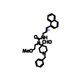 COCCN(C(=O)NC/C=C/c1cccc2ccccc12)C1(C=O)CCN(Cc2ccccc2)CC1